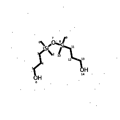 C[Si](C)(CCCO)O[Si](C)(C)CCCO